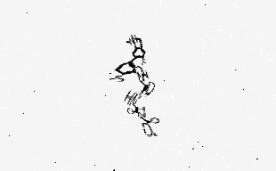 COC(=O)CNC(=O)CNC(=O)Cn1ncc2c(-c3cc4c(cnn4C)cc3F)ccc(SC)c21